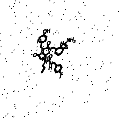 C=CCN(C(=O)NCc1ccc(F)cc1)N1CC(=O)N2[C@@H](Cc3ccc(O)cn3)C(=O)N(Cc3cccc4sc(N)nc34)C[C@@H]21